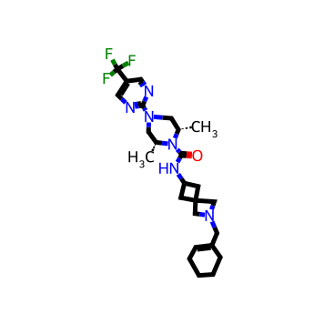 C[C@@H]1CN(c2ncc(C(F)(F)F)cn2)C[C@H](C)N1C(=O)NC1CC2(C1)CN(CC1=CCCCC1)C2